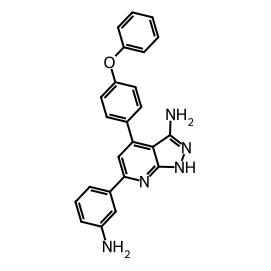 Nc1cccc(-c2cc(-c3ccc(Oc4ccccc4)cc3)c3c(N)n[nH]c3n2)c1